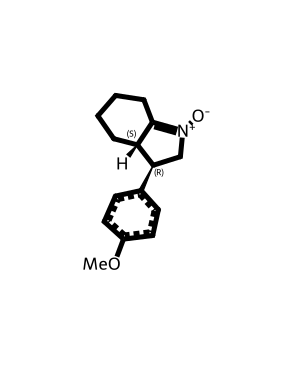 COc1ccc([C@@H]2C[N+]([O-])=C3CCCC[C@H]32)cc1